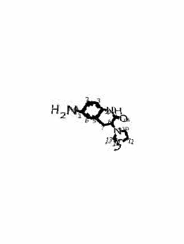 Nc1ccc2c(c1)CC(N1CCSC1)C(=O)N2